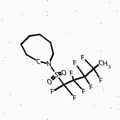 CC(F)(F)C(F)(F)C(F)(F)C(F)(F)S(=O)(=O)N1CCCCCCC1